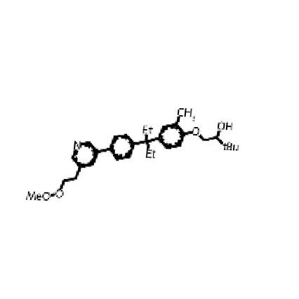 CCC(CC)(c1ccc(-c2cncc(CCOOC)c2)cc1)c1ccc(OCC(O)C(C)(C)C)c(C)c1